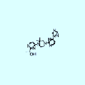 C[C@@H](O)c1nccc(N2CCN(c3nccc(-n4cncn4)n3)CC2(C)C)n1